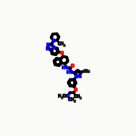 C[C@H](CN(C)C)Oc1cccc(-n2nc(C(C)(C)C)cc2NC(=O)N[C@H]2CC[C@@H](Oc3ccc4nnc(N5CCCC[C@@H]5C)n4c3)c3ccccc32)c1